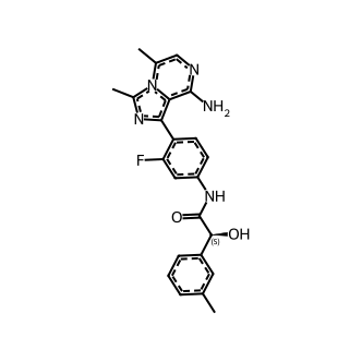 Cc1cccc([C@H](O)C(=O)Nc2ccc(-c3nc(C)n4c(C)cnc(N)c34)c(F)c2)c1